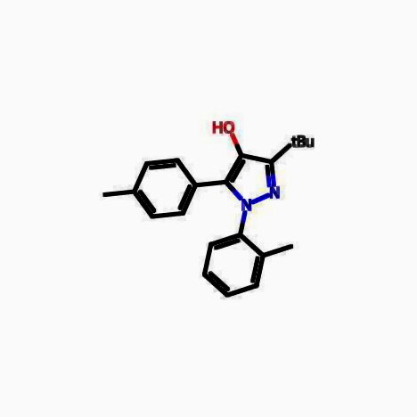 Cc1ccc(-c2c(O)c(C(C)(C)C)nn2-c2ccccc2C)cc1